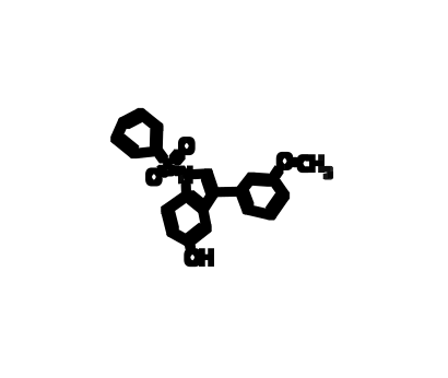 COc1cccc(-c2cn(S(=O)(=O)c3ccccc3)c3ccc(O)cc23)c1